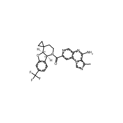 Cc1ncn2c1c(N)nc1cnc(C(=O)N3CCC4(CC4)[C@@H]4Oc5cc(C(F)(F)F)ccc5[C@@H]43)cc12